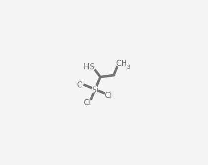 CCC(S)[Si](Cl)(Cl)Cl